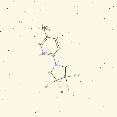 O=[N+]([O-])c1ccc(N2CC(F)(F)C(F)(F)C2)nc1